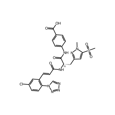 Cn1nc(C[C@H](NC(=O)C=Cc2cc(Cl)ccc2-n2cnnn2)C(=O)Nc2ccc(C(=O)O)cc2)cc1S(C)(=O)=O